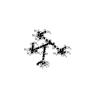 CC(=O)NC1C(OCCOCCNC(=O)CCC(NC(=O)CCC(NC(=O)CCCC(=O)NCCOCCOP(OCCC#N)N(C(C)C)C(C)C)C(=O)NCCOCCOC2OC(COC(C)=O)C(OC(C)=O)C(OC(C)=O)C2NC(C)=O)C(=O)NCCOCCOC2OC(COC(C)=O)C(OC(C)=O)C(OC(C)=O)C2NC(C)=O)OC(COC(C)=O)C(OC(C)=O)C1OC(C)=O